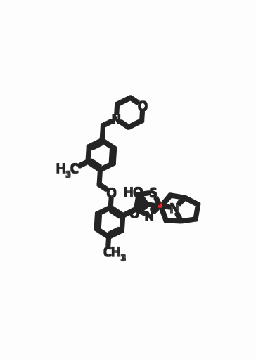 Cc1ccc(OCc2ccc(CN3CCOCC3)cc2C)c(-c2csc(N3C4CCC3CC(C(=O)O)C4)n2)c1